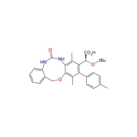 Cc1ccc(-c2c(C)c3c(c(C)c2[C@H](OC(C)(C)C)C(=O)O)NC(=O)Nc2ccccc2CO3)cc1